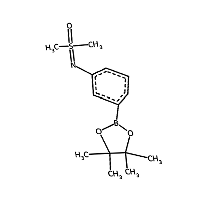 CC1(C)OB(c2cccc(N=S(C)(C)=O)c2)OC1(C)C